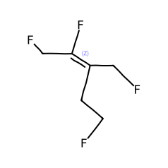 FCC/C(CF)=C(/F)CF